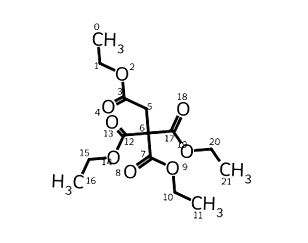 CCOC(=O)CC(C(=O)OCC)(C(=O)OCC)C(=O)OCC